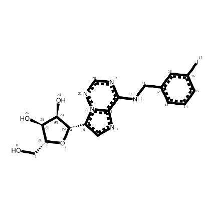 OC[C@H]1O[C@@H](c2cnc3c(NCc4cccc(I)c4)ncnn23)[C@H](O)[C@@H]1O